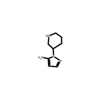 Nc1ccnn1C1CCCNC1